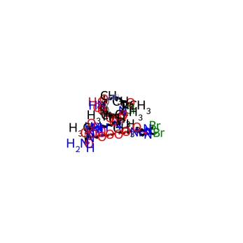 COc1cc2cc(c1Cl)N(C)C(=O)C[C@H](OC(=O)[C@H](C)N(C)C(=O)CCCCC(=O)NNC(=O)[C@H](C)NC(=O)[C@H](CC(N)=O)NC(=O)CCOCCOCCOCCOCCNC(=O)c1ccc3nc(CBr)c(CBr)nc3c1)[C@]1(C)O[C@H]1C(C)[C@@H]1C[C@@](O)(NC(=O)O1)[C@H](OC)/C=C/C=C(\C)C2